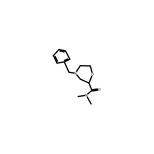 CN(C)C(=O)C1CN(Cc2ccccc2)CCO1